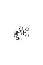 Cc1cc(NC(=O)C(C)OC(=O)C(c2ccccc2)c2ccccc2)no1